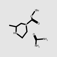 CC1CN(C(=O)OC(C)(C)C)CCN1.NC(N)=O